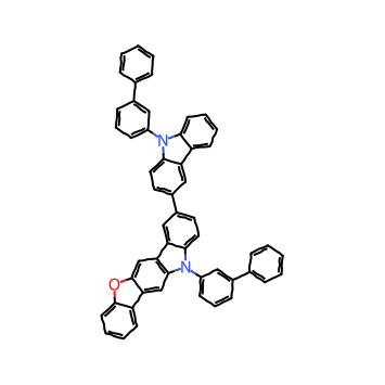 c1ccc(-c2cccc(-n3c4ccccc4c4cc(-c5ccc6c(c5)c5cc7oc8ccccc8c7cc5n6-c5cccc(-c6ccccc6)c5)ccc43)c2)cc1